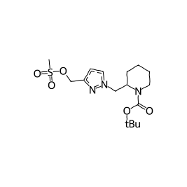 CC(C)(C)OC(=O)N1CCCCC1Cn1ccc(COS(C)(=O)=O)n1